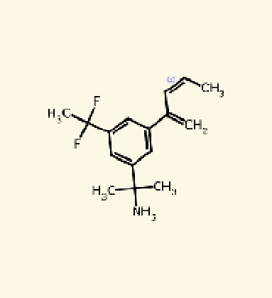 C=C(/C=C\C)c1cc(C(C)(C)N)cc(C(C)(F)F)c1